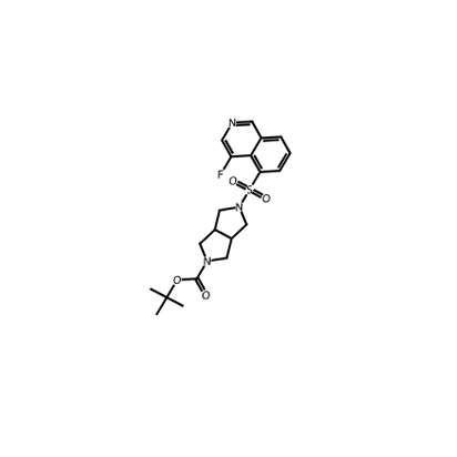 CC(C)(C)OC(=O)N1CC2CN(S(=O)(=O)c3cccc4cncc(F)c34)CC2C1